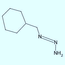 NN=NCC1CCCCC1